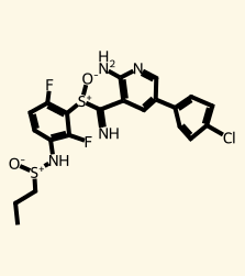 CCC[S+]([O-])Nc1ccc(F)c([S+]([O-])C(=N)c2cc(-c3ccc(Cl)cc3)cnc2N)c1F